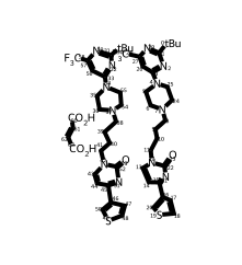 CC(C)(C)c1nc(N2CCN(CCCCn3ccc(-c4ccsc4)nc3=O)CC2)cc(C(F)(F)F)n1.CC(C)(C)c1nc(N2CCN(CCCCn3ccc(-c4ccsc4)nc3=O)CC2)cc(C(F)(F)F)n1.O=C(O)C=CC(=O)O